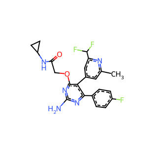 Cc1cc(-c2c(OCC(=O)NC3CC3)nc(N)nc2-c2ccc(F)cc2)cc(C(F)F)n1